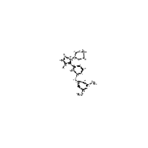 CCCCc1cc(CCCC)cc(Oc2cccc(-c3c(C)nnn3C3CCNCC3)n2)c1